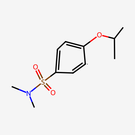 CC(C)Oc1[c]cc(S(=O)(=O)N(C)C)cc1